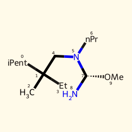 CCCC(C)C(C)(CC)CN(CCC)[C@@H](N)OC